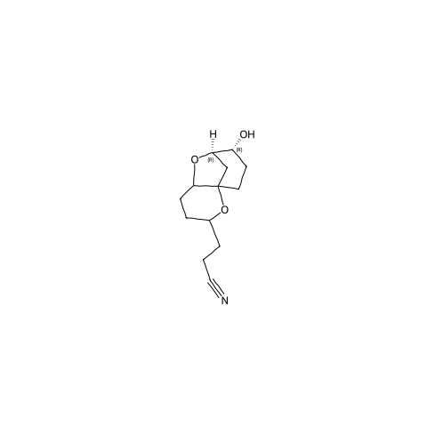 N#CCCC1CCC2O[C@@H]3CC2(CC[C@H]3O)O1